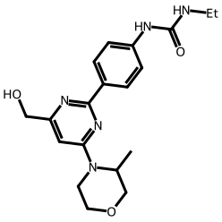 CCNC(=O)Nc1ccc(-c2nc(CO)cc(N3CCOCC3C)n2)cc1